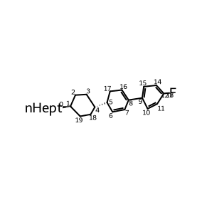 CCCCCCC[C@H]1CC[C@H](C2C=CC(c3ccc(F)cc3)=CC2)CC1